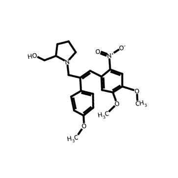 COc1ccc(C(=Cc2cc(OC)c(OC)cc2[N+](=O)[O-])CN2CCCC2CO)cc1